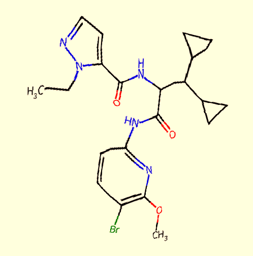 CCn1nccc1C(=O)NC(C(=O)Nc1ccc(Br)c(OC)n1)C(C1CC1)C1CC1